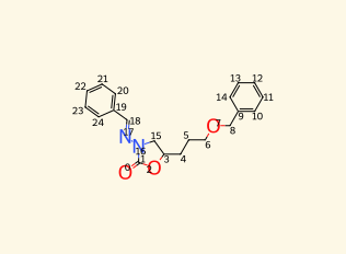 O=C1OC(CCCOCc2ccccc2)CN1N=Cc1ccccc1